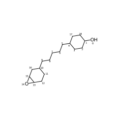 OC1CCC(CCCCCC2CCC3OC3C2)CC1